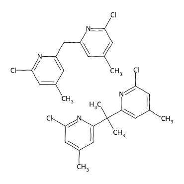 Cc1cc(Cl)nc(C(C)(C)c2cc(C)cc(Cl)n2)c1.Cc1cc(Cl)nc(Cc2cc(C)cc(Cl)n2)c1